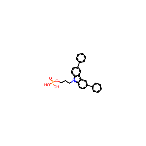 O=P(O)(O)OCCCn1c2ccc(-c3ccccc3)cc2c2cc(-c3ccccc3)ccc21